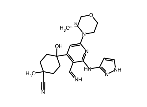 C[C@@H]1COCCN1c1cc(C2(O)CCC(C)(C#N)CC2)c(C=N)c(Nc2cc[nH]n2)n1